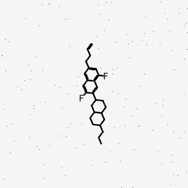 C=CCCc1cc(F)c2cc(C3CCC4CC(CCC)CCC4C3)c(F)cc2c1